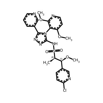 COc1ccnc(OC)c1-n1c(NS(=O)(=O)[C@H](C)[C@@H](OC)c2ccc(Cl)nc2)nnc1-c1cccnc1